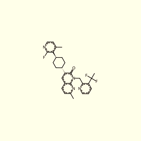 Cc1ccc2cc([C@H]3CC[C@H](c4c(C)ccnc4F)CC3)c(=O)n(Cc3ncccc3C(C)(F)F)c2n1